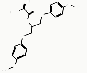 C=C(C)C(=O)OC(COc1ccc(OCCCC)cc1)COc1ccc(OCCCC)cc1